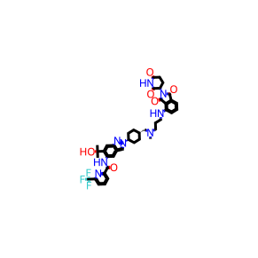 CN(CCCNc1cccc2c1C(=O)N(C1CCC(=O)NC1=O)C2=O)C[C@H]1CC[C@H](n2cc3cc(NC(=O)c4cccc(C(F)(F)F)n4)c(C(C)(C)O)cc3n2)CC1